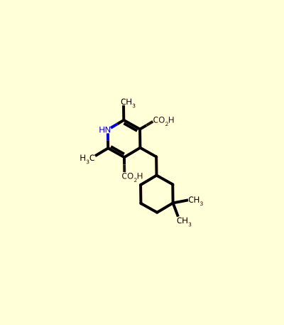 CC1=C(C(=O)O)C(CC2CCCC(C)(C)C2)C(C(=O)O)=C(C)N1